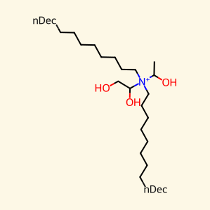 CCCCCCCCCCCCCCCCCC[N+](CCCCCCCCCCCCCCCCCC)(C(C)O)C(O)CO